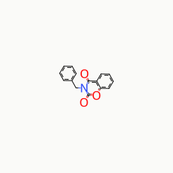 O=c1oc2ccccc2c(=O)n1Cc1ccccc1